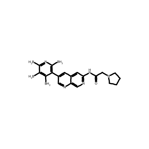 Bc1nc(B)c(-c2cnc3cnc(NC(=O)CN4CCCC4)cc3c2)c(B)c1B